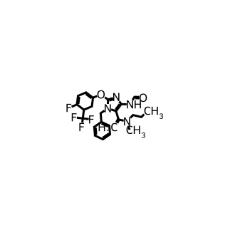 C=C(c1c(NC=O)nc(OC2=CC=C(F)C(C(F)(F)F)C2)n1Cc1ccccc1)N(C)CCC